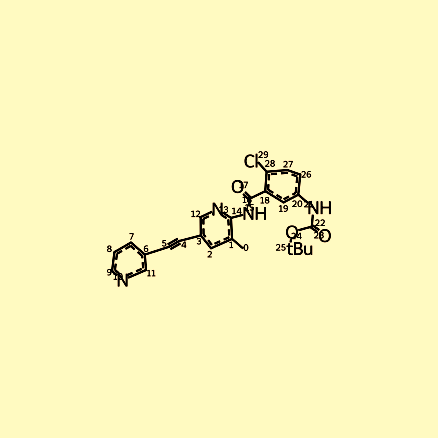 Cc1cc(C#Cc2cccnc2)cnc1NC(=O)c1cc(NC(=O)OC(C)(C)C)ccc1Cl